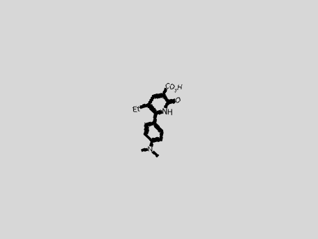 CCc1cc(C(=O)O)c(=O)[nH]c1-c1ccc(N(C)C)cc1